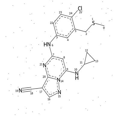 CSCc1cc(Nc2cc(NC3CC3)n3ncc(C#N)c3n2)ccc1Cl